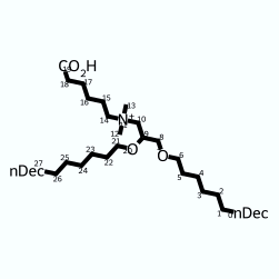 CCCCCCCCCCCCCCCCOCC(C[N+](C)(C)CCCCCC(=O)O)OCCCCCCCCCCCCCCCC